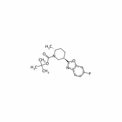 C[C@@H]1CC[C@@H](c2nc3ccc(F)cc3o2)CN1C(=O)OC(C)(C)C